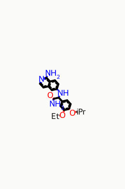 CCOc1cc(C(Nc2ccc3c(N)nccc3c2)C(N)=O)ccc1OC(C)C